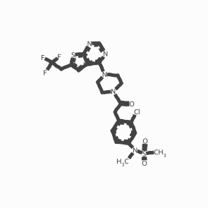 CN(c1ccc(CC(=O)N2CCN(c3ncnc4sc(CC(F)(F)F)cc34)CC2)c(Cl)c1)S(C)(=O)=O